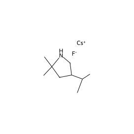 CC(C)C1CNC(C)(C)C1.[Cs+].[F-]